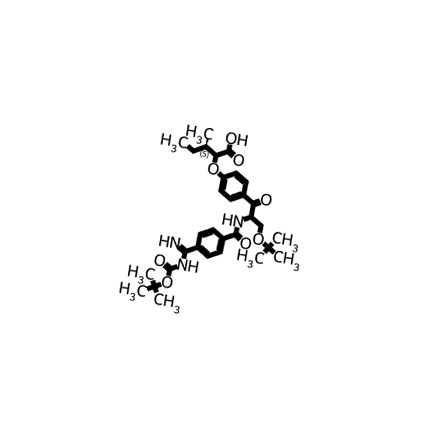 CC[C@H](C)C(Oc1ccc(C(=O)C(COC(C)(C)C)NC(=O)c2ccc(C(=N)NC(=O)OC(C)(C)C)cc2)cc1)C(=O)O